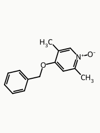 Cc1c[n+]([O-])c(C)cc1OCc1ccccc1